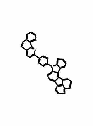 c1cc2c3c(cccc3c1)-c1c-2ccc2c1c1ccccc1n2-c1ccc(-c2ccc3ccc4cccnc4c3n2)cc1